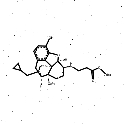 CO[C@@]12CC[C@H](NCCC(=O)OC(C)(C)C)[C@@H]3Oc4c(O)ccc5c4[C@@]31CCN(CC1CC1)[C@@H]2C5